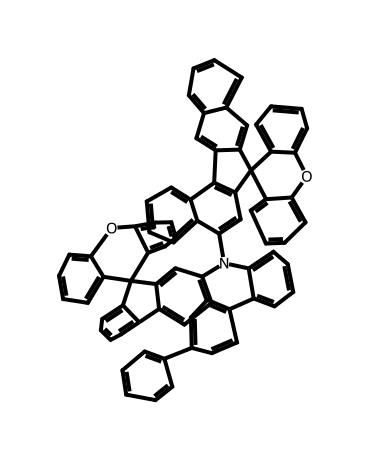 c1ccc(-c2ccc(-c3ccccc3N(c3ccc4c(c3)C3(c5ccccc5Oc5ccccc53)c3ccccc3-4)c3cc4c(c5ccccc35)-c3cc5ccccc5cc3C43c4ccccc4Oc4ccccc43)cc2)cc1